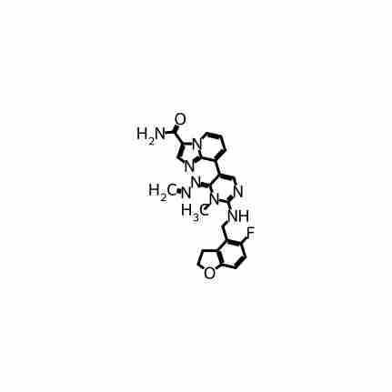 C=N/N=c1/c(-c2cccn3c(C(N)=O)cnc23)cnc(NCc2c(F)ccc3c2CCO3)n1C